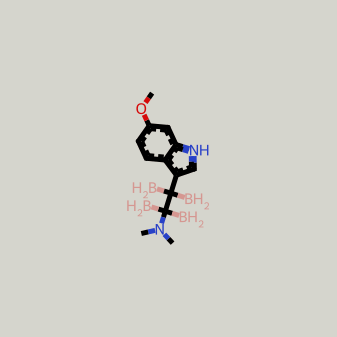 BC(B)(c1c[nH]c2cc(OC)ccc12)C(B)(B)N(C)C